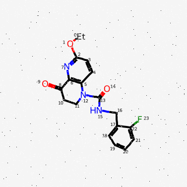 CCOc1ccc2c(n1)C(=O)CCN2C(=O)NCc1ccccc1F